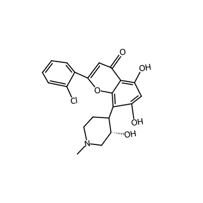 CN1CCC(c2c(O)cc(O)c3c(=O)cc(-c4ccccc4Cl)oc23)[C@H](O)C1